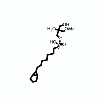 COCC(C)(CO)COP(=O)(O)OCCCCCCCC1C2CCCC12